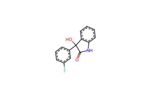 O=C1Nc2ccccc2C1(O)c1cccc(F)c1